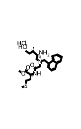 CC[C@H](C)[C@H](N)CN(CC(=O)N[C@@H](CCSC)C(=O)OC)Cc1cccc2ccccc12.Cl.Cl